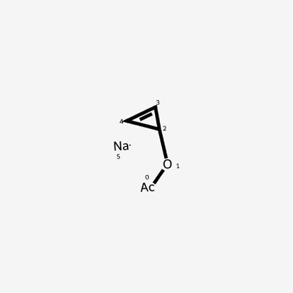 CC(=O)OC1C=C1.[Na]